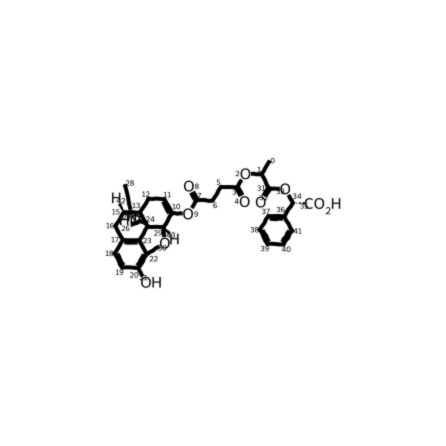 CC(OC(=O)CCC(=O)OC1=CC[C@@]2(O)[C@H]3Cc4ccc(O)c5c4[C@@]2(CCN3C)[C@H]1O5)C(=O)O[C@H](C(=O)O)c1ccccc1